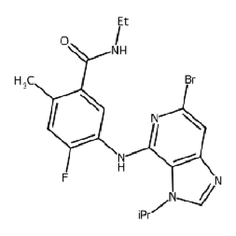 CCNC(=O)c1cc(Nc2nc(Br)cc3ncn(C(C)C)c23)c(F)cc1C